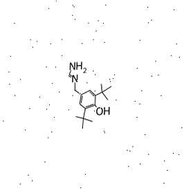 CC(C)(C)c1cc(CN=CN)cc(C(C)(C)C)c1O